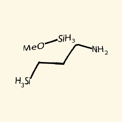 CO[SiH3].NCCC[SiH3]